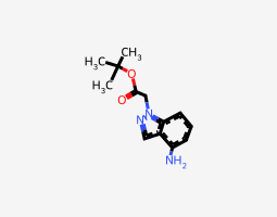 CC(C)(C)OC(=O)Cn1ncc2c(N)cccc21